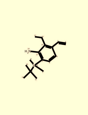 C=Cc1ccc([Si](C)(C)C(C)(C)C)c(N)c1CC